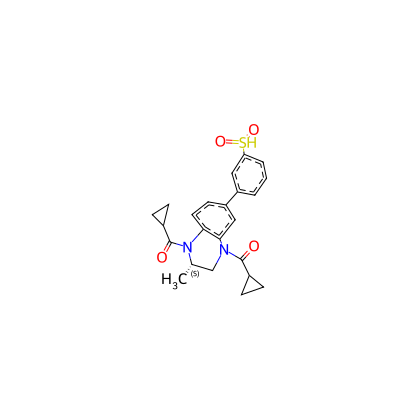 C[C@H]1CN(C(=O)C2CC2)c2cc(-c3cccc([SH](=O)=O)c3)ccc2N1C(=O)C1CC1